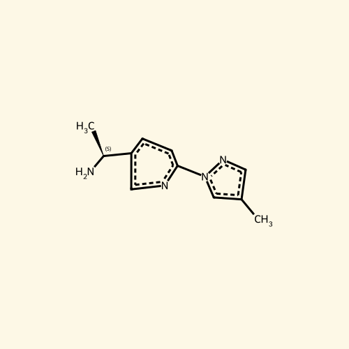 Cc1cnn(-c2ccc([C@H](C)N)cn2)c1